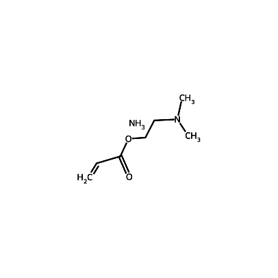 C=CC(=O)OCCN(C)C.N